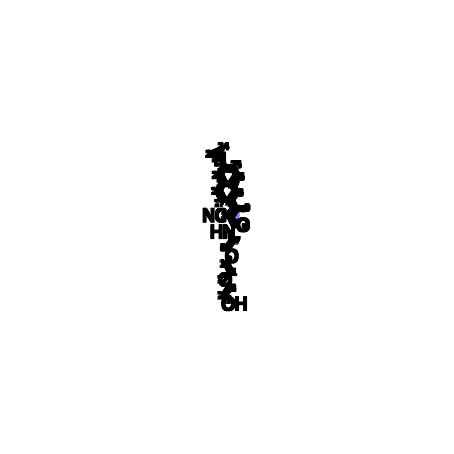 C/C(=C(/C#N)C(=O)NCCOCCOCCO)c1ccc2cc(N3CC3)ccc2c1